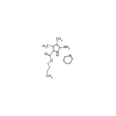 CCCCOC(=O)c1[nH]c(N)c(C)c1C.c1ccncc1